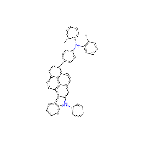 Cc1ccccc1N(c1ccc(-c2ccc3ccc4c5c(ccc2c35)cc2c4c3ccccc3n2-c2ccccc2)cc1)c1ccccc1C